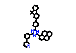 CC1(C)c2ccccc2-c2ccc(-c3ccc(-c4nc(-c5cccc(-c6cccnc6)c5)nc(-c5ccc6ccc7cccc8ccc5c6c78)n4)cc3)cc21